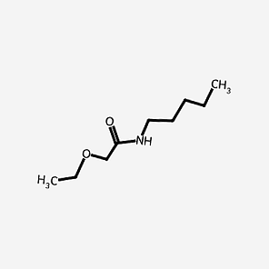 CCCCCNC(=O)COCC